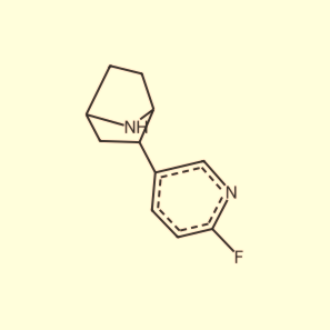 Fc1ccc(C2CC3CCC2N3)cn1